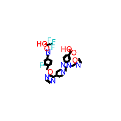 N#Cc1ccc(COc2nccnc2C2CCN(Cc3nc4ccc(C(=O)O)cc4n3Cc3ncco3)CC2)c(F)c1.O=C(O)C(F)(F)F